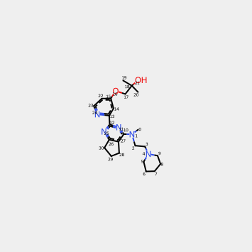 CN(CCN1CCCCC1)c1nc(-c2cc(OCC(C)(C)O)ccn2)nc2c1CCC2